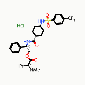 CN[C@H](C(=O)OC[C@@H](NC(=O)[C@H]1CC[C@H](NS(=O)(=O)c2ccc(C(F)(F)F)cc2)CC1)c1ccccc1)C(C)C.Cl